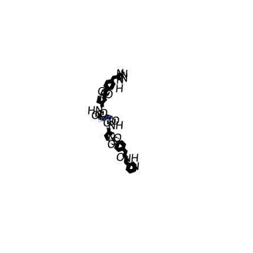 O=C(Cc1ccc(S(=O)(=O)N2CCC(CNS(=O)(=O)/C=C\C=C/S(=O)(=O)NCC3CCN(S(=O)(=O)c4ccc(Cc5nnn[nH]5)cc4)C3)C2)cc1)NCc1cccnc1